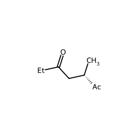 CCC(=O)C[C@H](C)C(C)=O